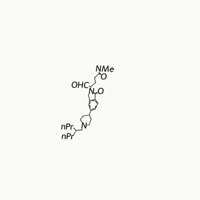 CCCC(CCC)CN1CCC(c2ccc3c(c2)CN(C(C=O)CCC(=O)NC)C3=O)CC1